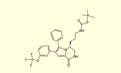 CC(C)(C)OC(=O)NCCC[C@H]1CNC(=O)c2cc(-c3cccc(OC(F)(F)F)c3)c(-c3ccccc3)n21